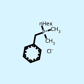 CCCCCC[P+](C)(C)Cc1ccccc1.[Cl-]